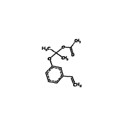 C=Cc1cccc(OC(C)(C)OC(C)=O)c1